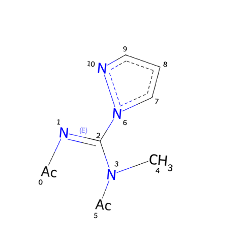 CC(=O)/N=C(\N(C)C(C)=O)n1cccn1